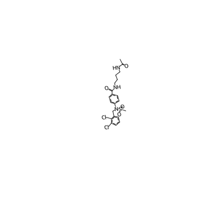 CC(=O)NCCCCNC(=O)c1ccc(N(Cc2cccc(Cl)c2Cl)S(C)(=O)=O)cc1